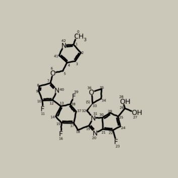 Cc1ccc(COc2ccc(F)c(-c3cc(F)c(Cc4nc5c(F)cc(C(O)O)cc5n4C[C@@H]4CCO4)cc3F)n2)cn1